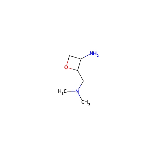 CN(C)CC1OCC1N